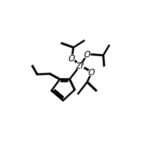 CCCC1=[C]([Zr]([O]C(C)C)([O]C(C)C)[O]C(C)C)CC=C1